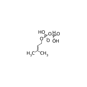 CC(C)=CCOP(=O)(O)O[PH](=O)O